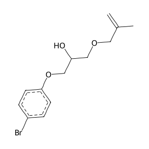 C=C(C)COCC(O)COc1ccc(Br)cc1